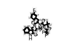 C=N[C@@H]1C[C@@]2(CN1C(=O)C(Cc1cccc(F)c1)NC(=O)[C@@H](NC(=O)C(F)(F)F)C(C)(C)C)C(=O)Nc1ccccc12